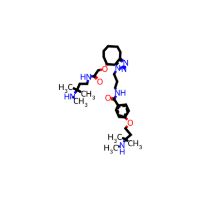 CNC(C)(C)CCNC(=O)COC1CCCCCc2nnn(CCCNC(=O)c3ccc(OCCC(C)(C)NC)cc3)c21